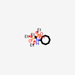 CCOP(=O)(O)C(CC)(NC1CCCCCCC1)P(=O)(OCC)OCC